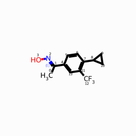 C/C(=N\O)c1ccc(C2CC2)c(C(F)(F)F)c1